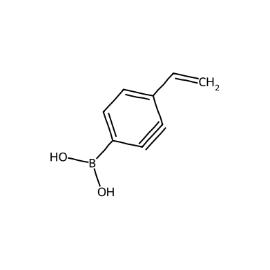 C=Cc1c#cc(B(O)O)cc1